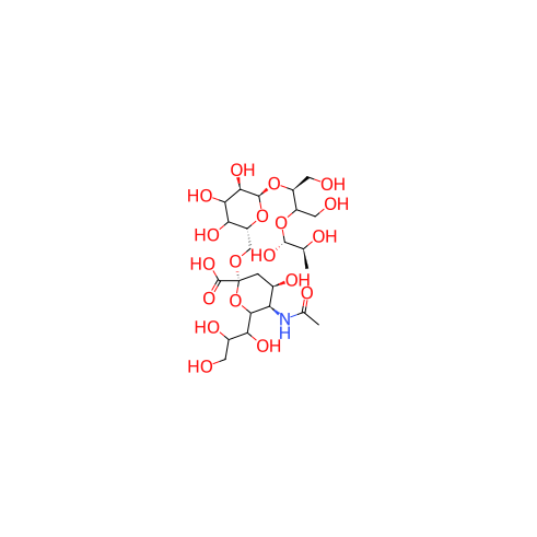 CC(=O)N[C@H]1C(C(O)C(O)CO)O[C@@](OC[C@H]2O[C@H](O[C@@H](CO)C(CO)O[C@@H](O)[C@H](C)O)[C@H](O)C(O)C2O)(C(=O)O)C[C@H]1O